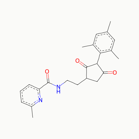 Cc1cc(C)c(C2C(=O)CC(CCNC(=O)c3cccc(C)n3)C2=O)c(C)c1